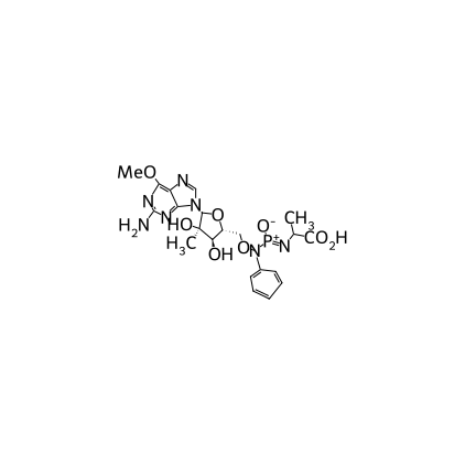 COc1nc(N)nc2c1ncn2[C@@H]1O[C@H](CON(c2ccccc2)/[P+]([O-])=N/C(C)C(=O)O)[C@@H](O)[C@@]1(C)O